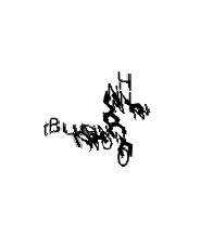 Cn1cc(Nc2nccc(-c3ccc4c(c3)CCN(C3CCOC3)C[C@@H]4NC(=O)c3nnc(C(C)(C)C)o3)n2)cn1